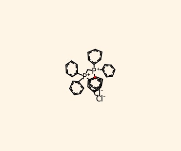 [Cl-].[Cl-].c1ccc([P+](C[P+](c2ccccc2)(c2ccccc2)c2ccccc2)(c2ccccc2)c2ccccc2)cc1